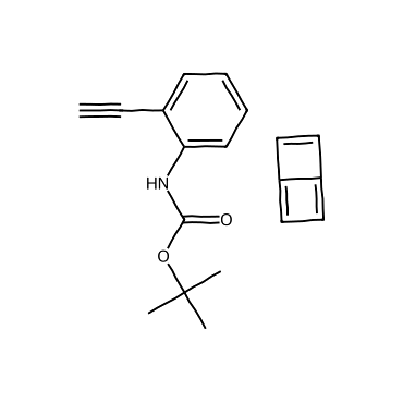 C#Cc1ccccc1NC(=O)OC(C)(C)C.c1cc2ccc1-2